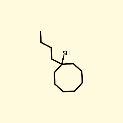 CCCCC1(S)CCCCCCC1